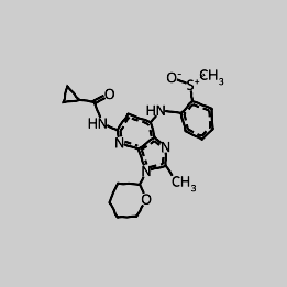 Cc1nc2c(Nc3ccccc3[S@@+](C)[O-])cc(NC(=O)C3CC3)nc2n1C1CCCCO1